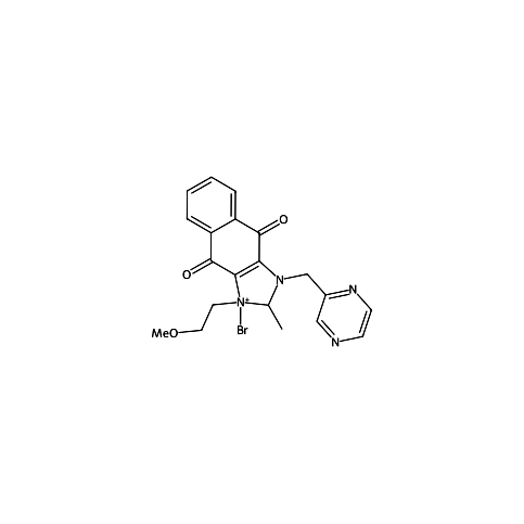 COCC[N+]1(Br)C2=C(C(=O)c3ccccc3C2=O)N(Cc2cnccn2)C1C